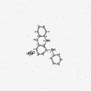 B(c1ccccc1)c1cccc2c1Nc1ccccc1O2.O.O